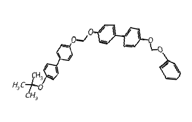 CC(C)(C)Oc1ccc(-c2ccc(OCOc3ccc(-c4ccc(OCOc5ccccc5)cc4)cc3)cc2)cc1